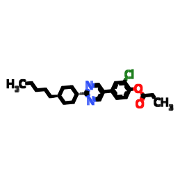 CCCCC[C@H]1CC[C@H](c2ncc(-c3ccc(OC(=O)CC)c(Cl)c3)cn2)CC1